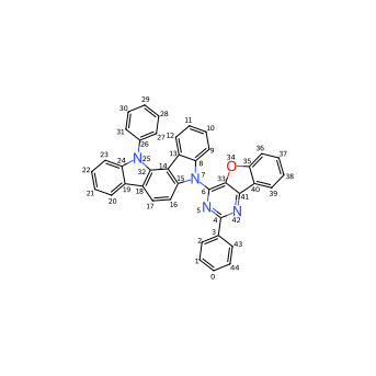 c1ccc(-c2nc(-n3c4ccccc4c4c3ccc3c5ccccc5n(-c5ccccc5)c34)c3oc4ccccc4c3n2)cc1